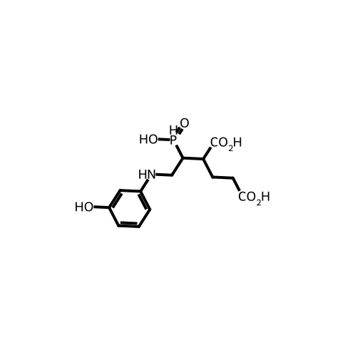 O=C(O)CCC(C(=O)O)C(CNc1cccc(O)c1)[PH](=O)O